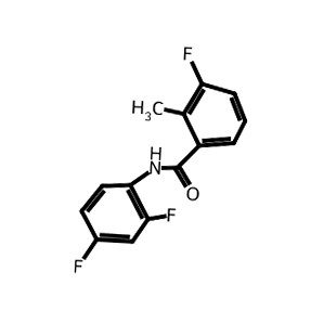 Cc1c(F)cccc1C(=O)Nc1ccc(F)cc1F